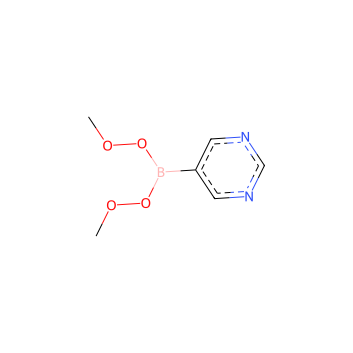 COOB(OOC)c1cncnc1